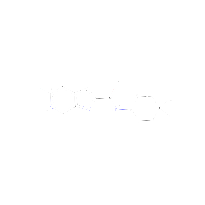 CC1(C)CCC(NC(=O)c2cc3cc(F)ncc3[nH]2)CC1